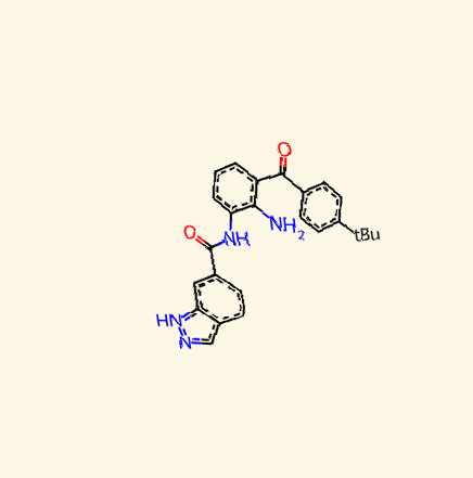 CC(C)(C)c1ccc(C(=O)c2cccc(NC(=O)c3ccc4cn[nH]c4c3)c2N)cc1